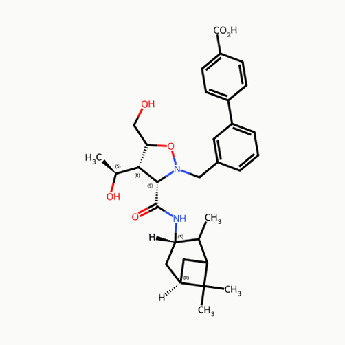 CC1C2C[C@H](C[C@@H]1NC(=O)[C@@H]1[C@H]([C@H](C)O)C(CO)ON1Cc1cccc(-c3ccc(C(=O)O)cc3)c1)C2(C)C